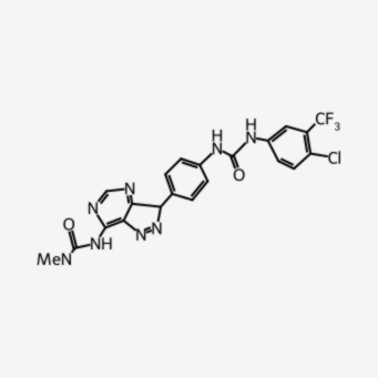 CNC(=O)Nc1ncnc2c1N=NC2c1ccc(NC(=O)Nc2ccc(Cl)c(C(F)(F)F)c2)cc1